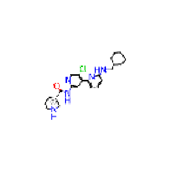 O=C(Nc1cc(-c2cccc(NCC3CCCCC3)n2)c(Cl)cn1)[C@@H]1CCCNC1